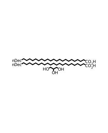 CCCCCCCCCCCCCCCCCCCCCCCCCCCCCCCC(=O)O.CCCCCCCCCCCCCCCCCCCCCCCCCCCCCCCC(=O)O.OCC(O)CO